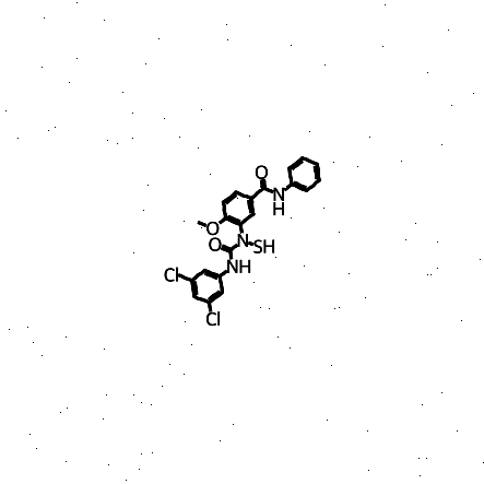 COc1ccc(C(=O)Nc2ccccc2)cc1N(S)C(=O)Nc1cc(Cl)cc(Cl)c1